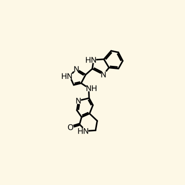 O=C1NCCc2cc(Nc3c[nH]nc3-c3nc4ccccc4[nH]3)ncc21